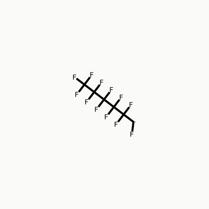 F[CH]C(F)(F)C(F)(F)C(F)(F)C(F)(F)C(F)(F)F